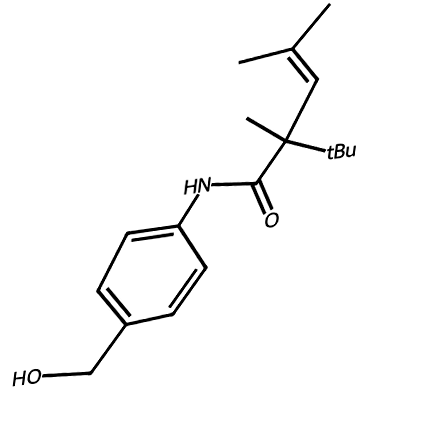 CC(C)=CC(C)(C(=O)Nc1ccc(CO)cc1)C(C)(C)C